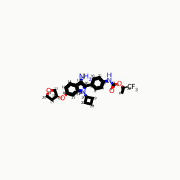 C[C@@H](OC(=O)Nc1ccc(-c2c(N)c3ccc(O[C@@H]4CCOC4)cc3n2C2CCC2)cc1)C(F)(F)F